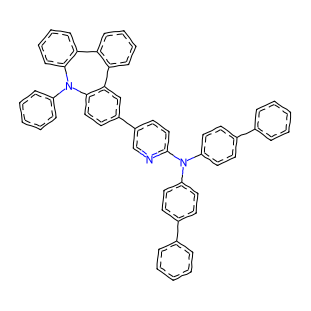 c1ccc(-c2ccc(N(c3ccc(-c4ccccc4)cc3)c3ccc(-c4ccc5c(c4)-c4ccccc4-c4ccccc4N5c4ccccc4)cn3)cc2)cc1